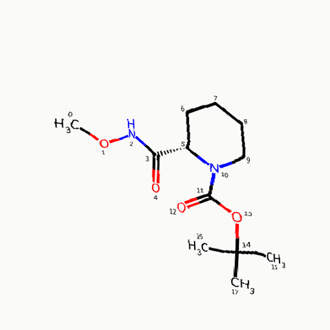 CONC(=O)[C@@H]1CCCCN1C(=O)OC(C)(C)C